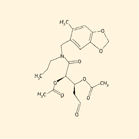 CCCN(Cc1cc2c(cc1C)OCO2)C(=O)[C@H](OC(C)=O)[C@H](CC=O)OC(C)=O